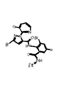 CCNC(=O)c1cc(Br)cc(Br)c1NC(=O)c1cc(Br)nn1-c1ncccc1Cl